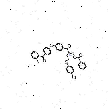 Cc1ccccc1C(=O)c1ccc(Sc2ccc(C(=O)/C(CCSc3ccc(Cl)cc3)=N/OC(=O)c3ccccc3)cc2)cc1